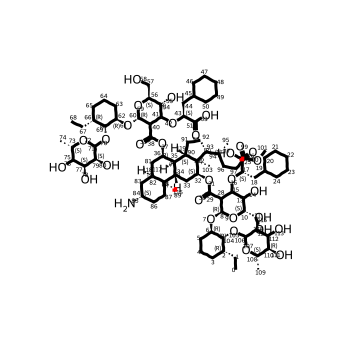 CC[C@@H]1CCC[C@@H](O[C@@H]2O[C@@H](CO)C(O)C(O[C@@H](CC3CCCCC3)C(=O)O)C2C(=O)O[C@H]2C[C@H]3[C@@H]([C@H](OC(=O)C4C(O[C@@H](CC5CCCCC5)C(=O)O)[C@@H](O)[C@H](CO)O[C@H]4O[C@@H]4CCC[C@@H](CC)[C@H]4OC4O[C@@H](C)C(O)[C@H](O)[C@@H]4O)C[C@@H]4C[C@@H](N)CC[C@@]43C)[C@@H]3CC[C@H]([C@H](C)CCC(=O)OC)[C@@]23C)[C@@H]1OC1O[C@@H](C)[C@H](O)C(O)[C@@H]1O